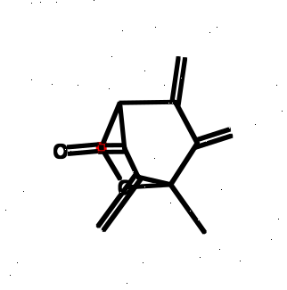 C=C1C(=C)C2(C)OC(=O)C1C(=C)C2=C